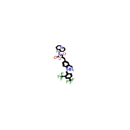 O=C1S/C(=C\c2ccc3c(cnn3Cc3ccc(C(F)(F)F)cc3C(F)(F)F)c2)C(=O)N1C[C@@H]1CCCN2CCCC[C@H]12